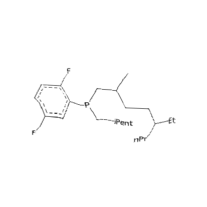 CCCC(C)CP(CC(C)CCC(CC)CCC)c1cc(F)ccc1F